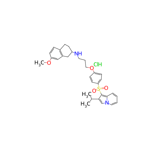 COc1ccc2c(c1)CC(NCCCOc1ccc(S(=O)(=O)c3c(C(C)C)cn4ccccc34)cc1)CC2.Cl